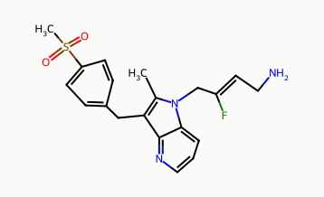 Cc1c(Cc2ccc(S(C)(=O)=O)cc2)c2ncccc2n1C/C(F)=C/CN